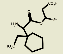 CCCC(CC(=O)O)OC(=O)C(N)C1(CC(=O)O)CCCCC1